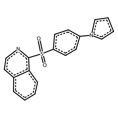 O=S(=O)(c1ccc(-n2cccc2)cc1)c1nccc2ccccc12